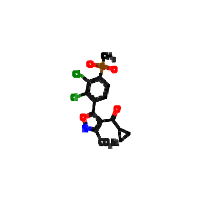 CCOC(=O)c1noc(-c2ccc(S(C)(=O)=O)c(Cl)c2Cl)c1C(=O)C1CC1